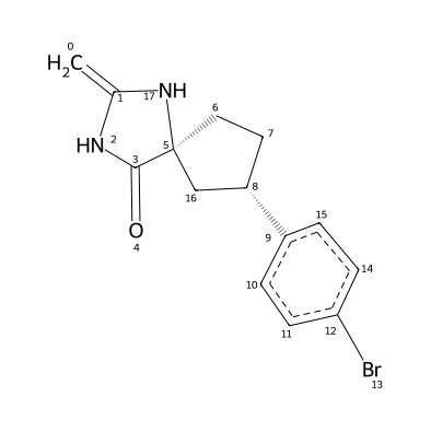 C=C1NC(=O)[C@@]2(CC[C@H](c3ccc(Br)cc3)C2)N1